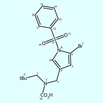 CC(C)(C)CN(Cc1cc(Br)n(S(=O)(=O)c2ccccc2)c1)C(=O)O